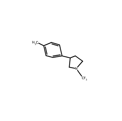 Cc1ccc(C2CCN(C(F)(F)F)C2)cc1